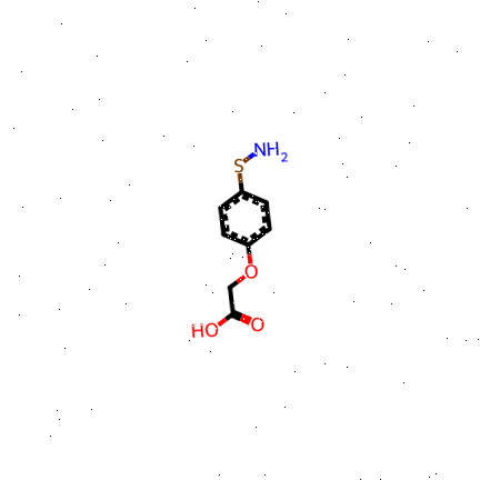 NSc1ccc(OCC(=O)O)cc1